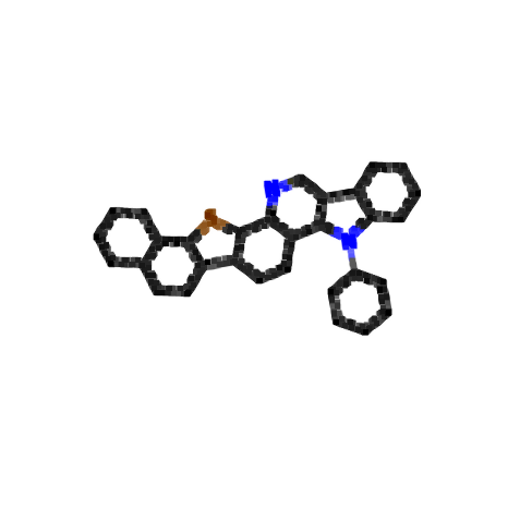 c1ccc(-n2c3ccccc3c3cnc4c(ccc5c6ccc7ccccc7c6sc54)c32)cc1